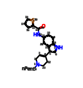 CCCCCN1CC=C(c2c[nH]c3ccc(NC(=O)c4cccs4)cc23)CC1